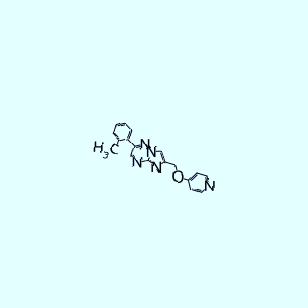 Cc1ccccc1-c1cnc2nc(COc3ccncc3)cn2n1